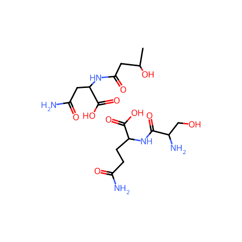 CC(O)CC(=O)NC(CC(N)=O)C(=O)O.NC(=O)CCC(NC(=O)C(N)CO)C(=O)O